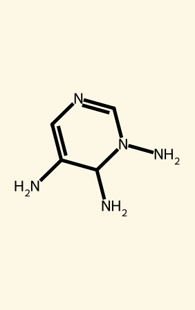 NC1=CN=CN(N)C1N